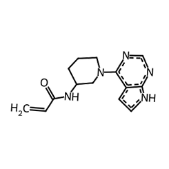 C=CC(=O)NC1CCCN(c2ncnc3[nH]ccc23)C1